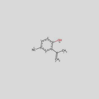 C=C(C)c1cc(C#N)ccc1O